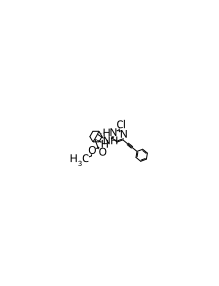 CCOC(=O)[C@@H]1C2CCC(CC2)[C@H]1Nc1cc(C#Cc2ccccc2)nc(Cl)n1